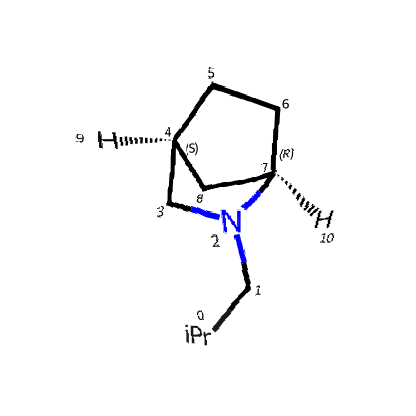 CC(C)CN1C[C@H]2CC[C@@H]1C2